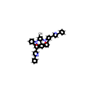 N#Cc1cc(-n2c3ccccc3c3cc(-c4ccc(-c5ccccc5)nc4)ccc32)c(-c2c(C#N)cccc2C(F)(F)F)c(-n2c3ccccc3c3cc(-c4ccc(-c5ccccc5)nc4)ccc32)c1